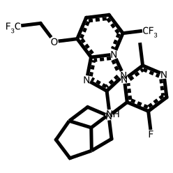 Cc1ncc(F)c(N2CC3CCC(C2)C3Nc2nc3c(OCC(F)(F)F)ccc(C(F)(F)F)n3n2)n1